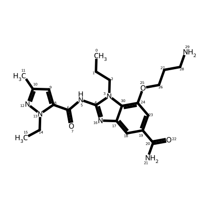 CCCn1c(NC(=O)c2cc(C)nn2CC)nc2cc(C(N)=O)cc(OCCCN)c21